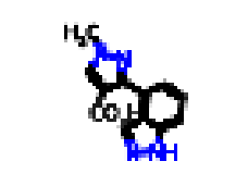 Cn1cc(C(=O)O)c(-c2cccc3[nH]ncc23)n1